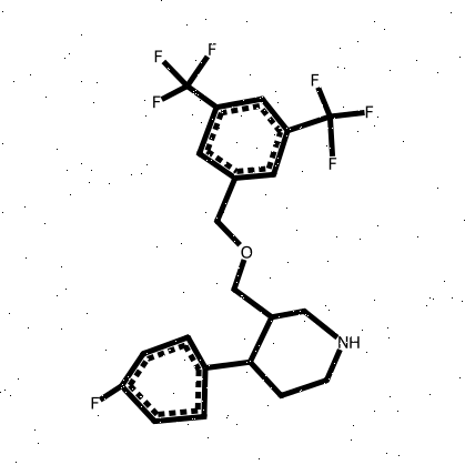 Fc1ccc(C2CCNCC2COCc2cc(C(F)(F)F)cc(C(F)(F)F)c2)cc1